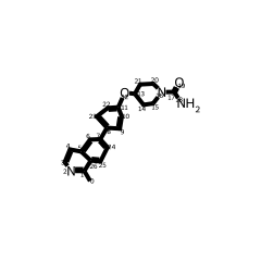 Cc1nccc2cc(-c3ccc(OC4CCN(C(N)=O)CC4)cc3)ccc12